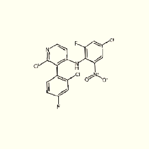 O=[N+]([O-])c1cc(Cl)cc(F)c1Nc1ccnc(Cl)c1-c1ccc(F)cc1Cl